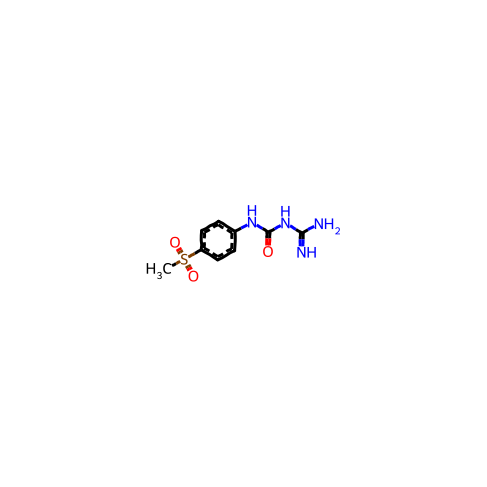 CS(=O)(=O)c1ccc(NC(=O)NC(=N)N)cc1